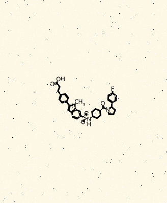 Cn1c(-c2ccc(CCC(=O)O)cc2)cc2ccc(S(=O)(=O)N[C@H]3CC[C@H](C(=O)N4CCCC4c4ccc(F)cc4)CC3)cc21